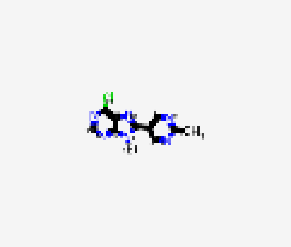 CCn1c(-c2cnc(C)nc2)nc2c(Cl)ncnc21